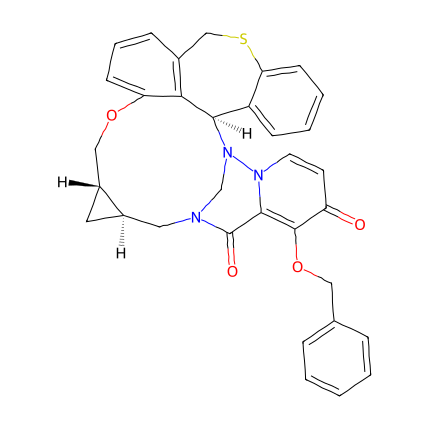 O=C1c2c(OCc3ccccc3)c(=O)ccn2N2CN1C[C@H]1C[C@@H]1COc1cccc3c1[C@H]2c1ccccc1SC3